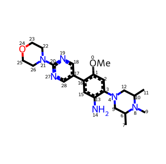 COc1cc(N2CC(C)N(C)C(C)C2)c(N)cc1-c1cnc(N2CCOCC2)nc1